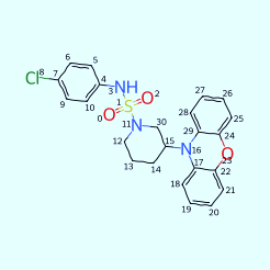 O=S(=O)(Nc1ccc(Cl)cc1)N1CCCC(N2c3ccccc3Oc3ccccc32)C1